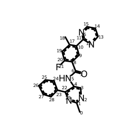 Cc1ncc(NC(=O)c2cc(-c3ncccn3)c(C)cc2F)c(-c2ccccc2)n1